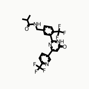 CC(C)C(=O)NCc1ccc(C(F)(F)F)c(-c2nc(-c3ccc(C(F)(F)F)nc3)cc(=O)[nH]2)c1